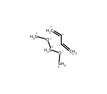 C=CC=C.[SiH3]O[SiH2]O[SiH3]